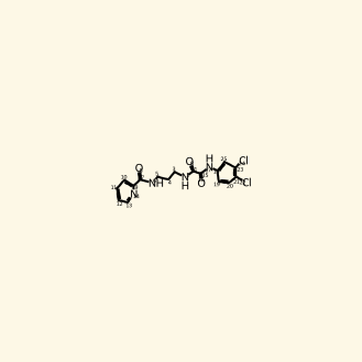 O=C(NCCCNC(=O)c1ccccn1)C(=O)Nc1ccc(Cl)c(Cl)c1